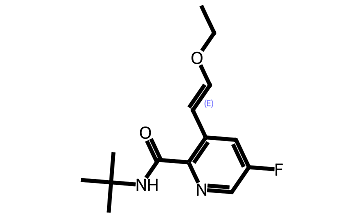 CCO/C=C/c1cc(F)cnc1C(=O)NC(C)(C)C